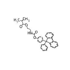 C=C(C)C(=O)OCCNC(=O)Oc1ccc(C2(c3ccccc3)c3ccccc3-c3ccccc32)cc1